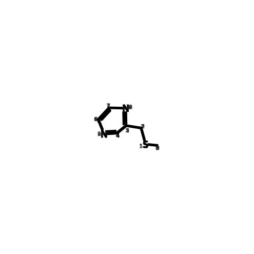 CSCc1cn[c]cn1